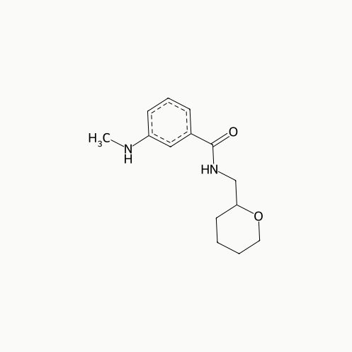 CNc1cccc(C(=O)NCC2CCCCO2)c1